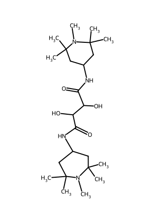 CN1C(C)(C)CC(NC(=O)C(O)C(O)C(=O)NC2CC(C)(C)N(C)C(C)(C)C2)CC1(C)C